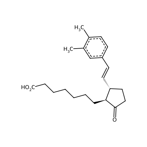 Cc1ccc(C=C[C@@H]2CCC(=O)[C@H]2CCCCCCC(=O)O)cc1C